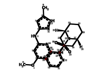 COc1cc(Nc2cc(C)[nH]n2)nc(N[C@@H]2C[C@H]3CCC[C@@H](C2)N3S(=O)(=O)c2ccccn2)n1